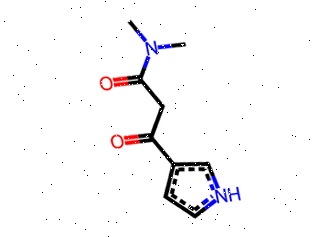 CN(C)C(=O)CC(=O)c1cc[nH]c1